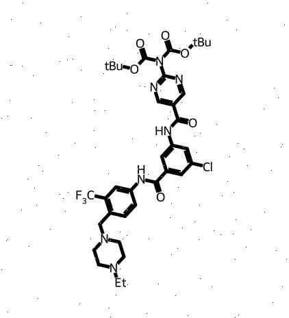 CCN1CCN(Cc2ccc(NC(=O)c3cc(Cl)cc(NC(=O)c4cnc(N(C(=O)OC(C)(C)C)C(=O)OC(C)(C)C)nc4)c3)cc2C(F)(F)F)CC1